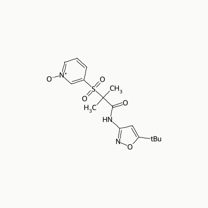 CC(C)(C)c1cc(NC(=O)C(C)(C)S(=O)(=O)c2ccc[n+]([O-])c2)no1